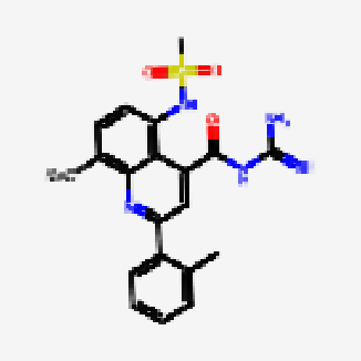 COc1ccc(NS(C)(=O)=O)c2c(C(=O)NC(=N)N)cc(-c3ccccc3C)nc12